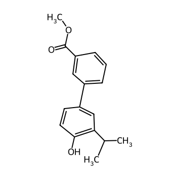 COC(=O)c1cccc(-c2ccc(O)c(C(C)C)c2)c1